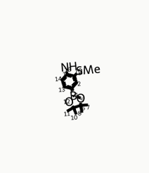 CSc1cc(B2OC(C)(C)C(C)(C)O2)ccc1N